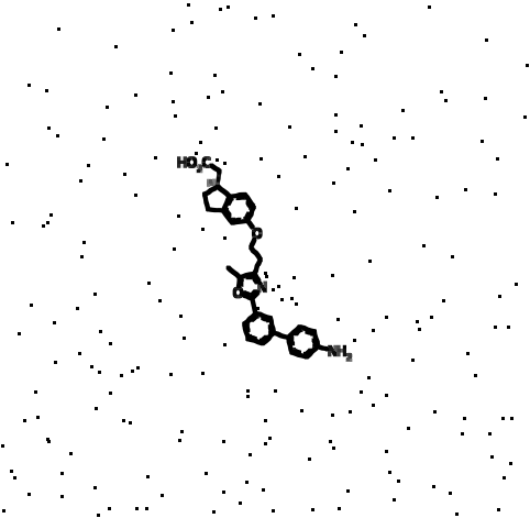 Cc1oc(-c2cccc(-c3ccc(N)cc3)c2)nc1CCOc1ccc2c(c1)CC[C@H]2CC(=O)O